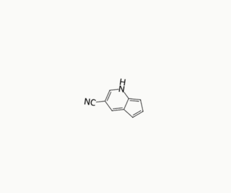 N#Cc1c[nH]c2cccc-2c1